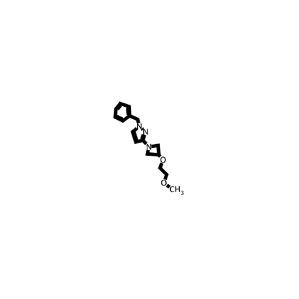 COCCOC1CN(c2ccn(Cc3ccccc3)n2)C1